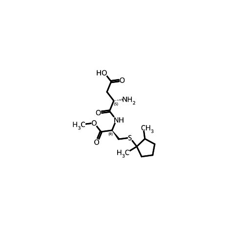 COC(=O)[C@H](CSC1(C)CCCC1C)NC(=O)[C@@H](N)CC(=O)O